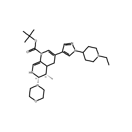 CCN1CCC(n2cc(C3=CN(C(=O)OC(C)(C)C)C4=CN[C@@H](N5CCOCC5)[C@@H](C)C4C3)cn2)CC1